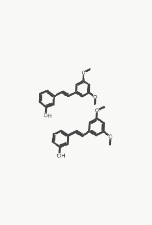 COc1cc(/C=C/c2cccc(O)c2)cc(OC)c1.COc1cc(/C=C/c2cccc(O)c2)cc(OC)c1